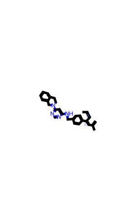 C=C(C)/C=C(\C=C/C)c1ccc(CNc2cc(N3CCc4ccccc4C3)ncn2)cc1